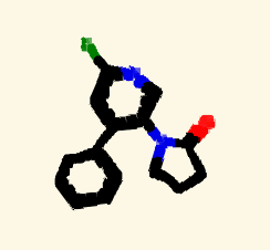 O=C1CCCN1c1cnc(Cl)cc1-c1ccccc1